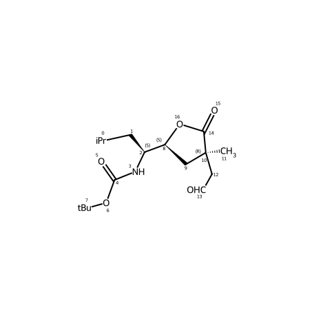 CC(C)C[C@H](NC(=O)OC(C)(C)C)[C@@H]1C[C@](C)(CC=O)C(=O)O1